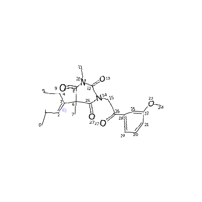 CC/C=C(\CC)C1(C)C(=O)N(C)C(=O)N(CC(=O)c2cccc(OC)c2)C1=O